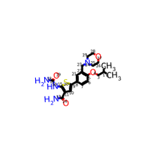 CC(C)COc1ccc(-c2cc(C(N)=O)c(NC(N)=O)s2)cc1CN1CCOCC1